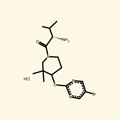 CC(C)[C@H](N)C(=O)N1CCC(Oc2ncc(Br)cn2)C(C)(C)C1.Cl